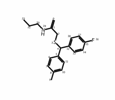 C=C(CSC(c1ccc(C)cc1)c1ccc(F)cc1)NCCC